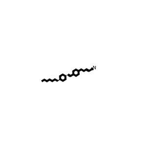 CCCCCCC[C@H]1CC[C@H](/C=C/C2CCC(CCC=CC#N)CC2)CC1